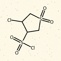 O=S1(=O)CC(Cl)C(S(=O)(=O)Cl)C1